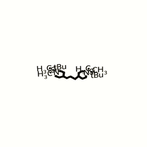 CC(C)(C)[Si](C)(C)N1CCC(CCCC2CCN([Si](C)(C)C(C)(C)C)CC2)CC1